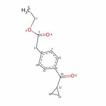 CCOC(=O)Cc1ccc(C(=O)C2CC2)cc1